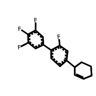 Fc1cc(C2C=CCCC2)ccc1-c1cc(F)c(F)c(F)c1